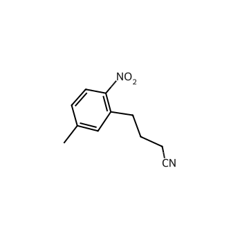 Cc1ccc([N+](=O)[O-])c(CCCC#N)c1